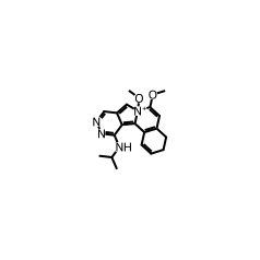 COC1=CC2=C(C=CCC2)C2=c3c(NC(C)C)nncc3=C[N+]12OC